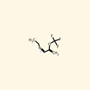 C=C(/C=N\CC)OC(F)(F)F